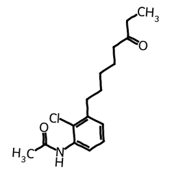 CCC(=O)CCCCCc1cccc(NC(C)=O)c1Cl